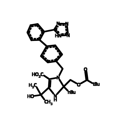 CCCCC1(COC(=O)C(C)(C)C)NC(C(C)(C)O)=C(C(=O)O)N1Cc1ccc(-c2ccccc2-c2nnn[nH]2)cc1